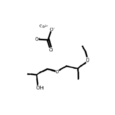 COC(C)COCC(C)O.O=C([O-])[O-].[Ca+2]